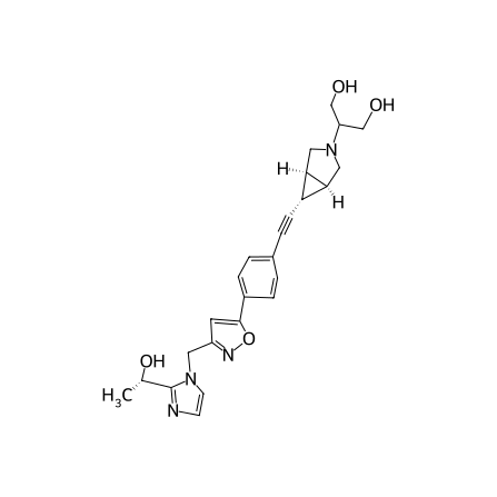 C[C@H](O)c1nccn1Cc1cc(-c2ccc(C#C[C@@H]3[C@H]4CN(C(CO)CO)C[C@@H]34)cc2)on1